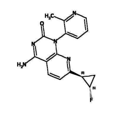 Cc1ncccc1-n1c(=O)nc(N)c2ccc([C@H]3C[C@@H]3F)nc21